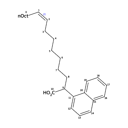 CCCCCCCC/C=C\CCCCCCC(C(=O)O)c1cccc2ccccc12